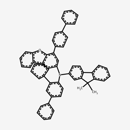 CC1(C)c2ccccc2-c2ccc(N(c3cc(-c4ccc(-c5ccccc5)cc4)c4oc5ccccc5c4c3)c3ccc(-c4ccccc4)cc3-c3ccccc3)cc21